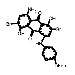 CCCCCc1ccc(Nc2cc(Br)c(O)c3c2C(=O)c2c(O)c(Br)cc(N)c2C3=O)cc1